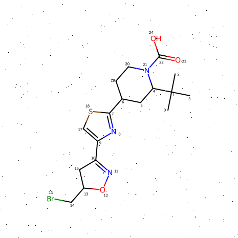 CC(C)(C)C1CC(c2nc(C3=NOC(CBr)C3)cs2)CCN1C(=O)O